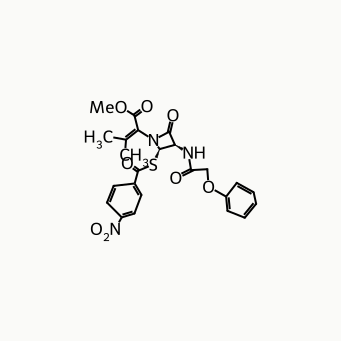 COC(=O)C(=C(C)C)N1C(=O)[C@@H](NC(=O)COc2ccccc2)[C@H]1SC(=O)c1ccc([N+](=O)[O-])cc1